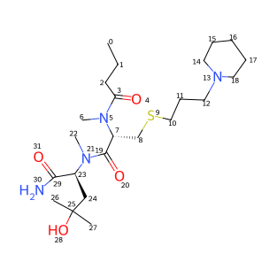 CCCC(=O)N(C)[C@H](CSCCCN1CCCCC1)C(=O)N(C)[C@@H](CC(C)(C)O)C(N)=O